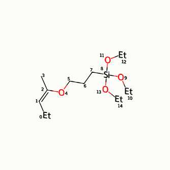 CCC=C(C)OCCC[Si](OCC)(OCC)OCC